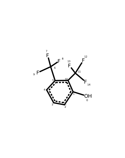 Oc1[c]ccc(C(F)(F)F)c1C(F)(F)F